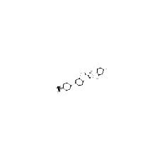 Cc1cc(C)c(S(=O)(=O)N2CCc3cc(-c4ccc(S(C)(=O)=O)cc4)ccc3C2)c(C)c1